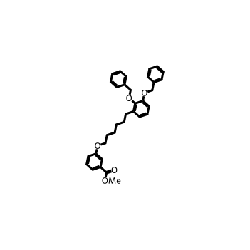 COC(=O)c1cccc(OCCCCCCc2cccc(OCc3ccccc3)c2OCc2ccccc2)c1